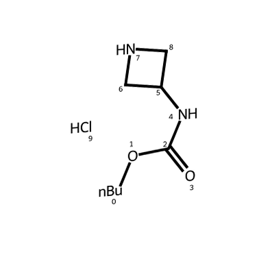 CCCCOC(=O)NC1CNC1.Cl